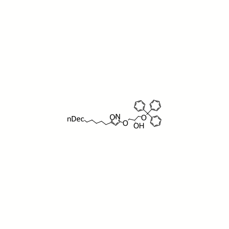 CCCCCCCCCCCCCCCc1cc(OC[C@@H](O)COC(c2ccccc2)(c2ccccc2)c2ccccc2)no1